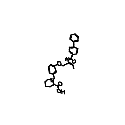 Cc1oc(-c2ccc(-c3ccccc3)cc2)nc1COc1cccc(CN2CCCCC2C(=O)O)c1